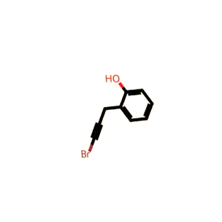 Oc1ccccc1CC#CBr